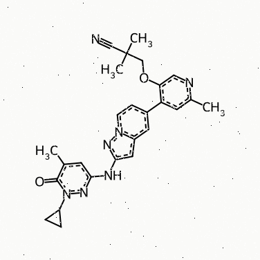 Cc1cc(-c2ccn3nc(Nc4cc(C)c(=O)n(C5CC5)n4)cc3c2)c(OCC(C)(C)C#N)cn1